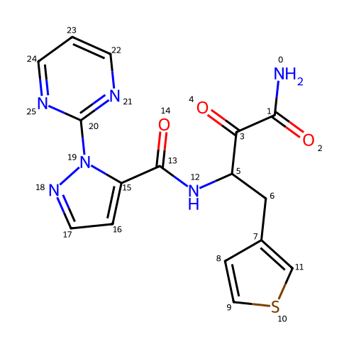 NC(=O)C(=O)C(Cc1ccsc1)NC(=O)c1ccnn1-c1ncccn1